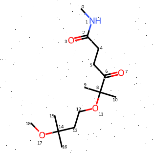 CNC(=O)CCC(=O)C(C)(C)OCCC(C)(C)OC